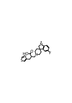 CN1CC2(CCN(CC(Cc3cscn3)C(=O)O)CC2)c2cc(F)ccc21